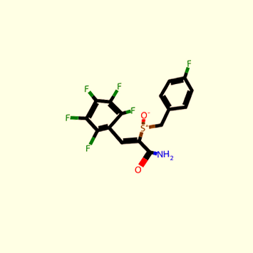 NC(=O)/C(=C/c1c(F)c(F)c(F)c(F)c1F)[S+]([O-])Cc1ccc(F)cc1